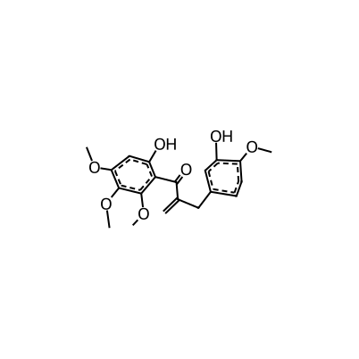 C=C(Cc1ccc(OC)c(O)c1)C(=O)c1c(O)cc(OC)c(OC)c1OC